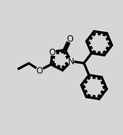 CCOc1cn(C(c2ccccc2)c2ccccc2)c(=O)o1